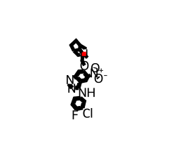 CN1CC2CCC(C1)C2CCOc1cc2ncnc(Nc3ccc(F)c(Cl)c3)c2cc1[N+](=O)[O-]